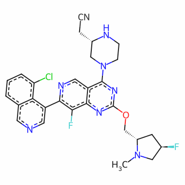 CN1C[C@H](F)C[C@H]1COc1nc(N2CCN[C@@H](CC#N)C2)c2cnc(-c3cncc4cccc(Cl)c34)c(F)c2n1